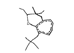 CC1Oc2c(C(C)(C)C)cccc2C1(C)C